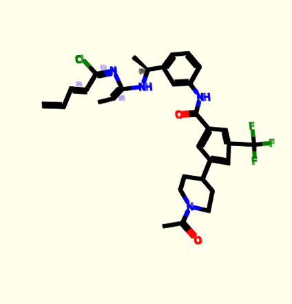 C=C/C=C/C(Cl)=N\C(=C/C)N[C@@H](C)c1cccc(NC(=O)c2cc(C3CCN(C(C)=O)CC3)cc(C(F)(F)F)c2)c1